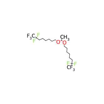 CC(OCCCCCCC(F)(F)C(F)(F)F)OCCCCCCC(F)(F)C(F)(F)F